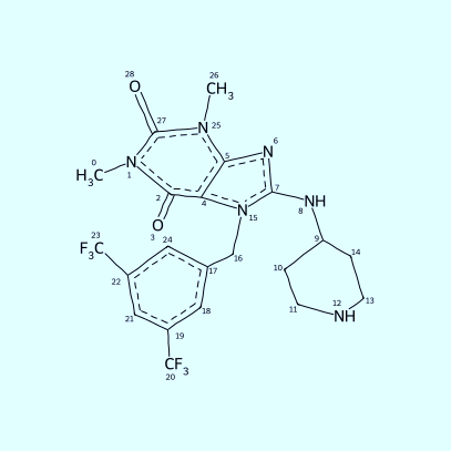 Cn1c(=O)c2c(nc(NC3CCNCC3)n2Cc2cc(C(F)(F)F)cc(C(F)(F)F)c2)n(C)c1=O